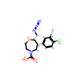 [N-]=[N+]=NC[C@H]1OCCN(C(=O)O)C[C@H]1c1ccc(Cl)c(Cl)c1